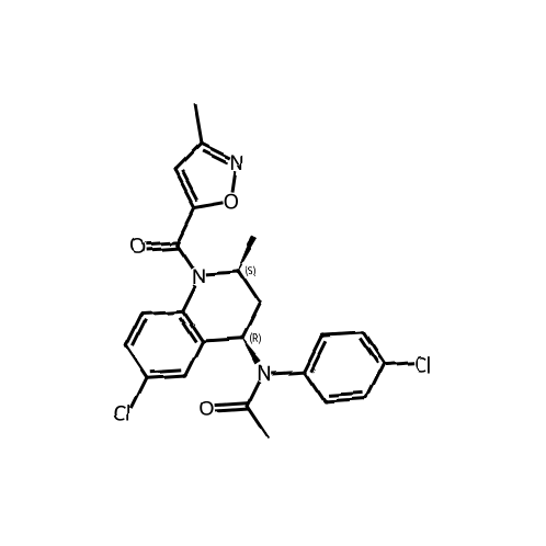 CC(=O)N(c1ccc(Cl)cc1)[C@@H]1C[C@H](C)N(C(=O)c2cc(C)no2)c2ccc(Cl)cc21